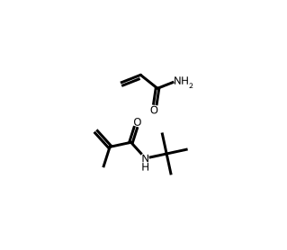 C=C(C)C(=O)NC(C)(C)C.C=CC(N)=O